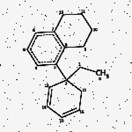 CCC1(c2cccc3c2CCCC3)C=CC=CC1